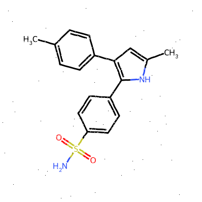 Cc1ccc(-c2cc(C)[nH]c2-c2ccc(S(N)(=O)=O)cc2)cc1